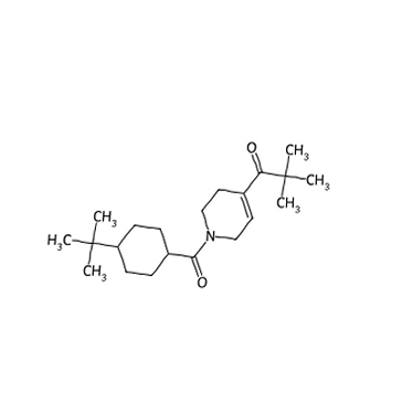 CC(C)(C)C(=O)C1=CCN(C(=O)C2CCC(C(C)(C)C)CC2)CC1